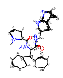 CN1CCC[C@H]1C(=O)N[C@@H](C(=O)NCc1cnc2[nH]ccc2c1)C(C1CCCCC1)C1CCCCC1